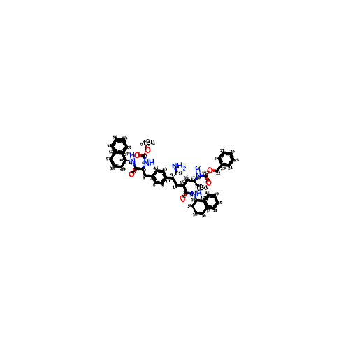 CC(C)(C)OC(=O)NC(Cc1ccc([C@H](CN)CC(C[C@@H](NC(=O)OCc2ccccc2)C(C)(C)C)C(=O)N[C@@H]2CCCc3ccccc32)cc1)C(=O)N[C@@H]1CCCc2ccccc21